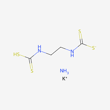 N.S=C([S-])NCCNC(=S)S.[K+]